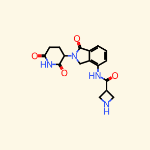 O=C1CCC(N2Cc3c(NC(=O)C4CNC4)cccc3C2=O)C(=O)N1